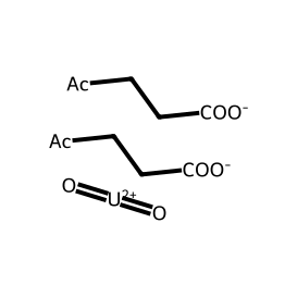 CC(=O)CCC(=O)[O-].CC(=O)CCC(=O)[O-].[O]=[U+2]=[O]